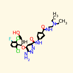 CCN(CC)CCNC(=O)c1ccc(NC(=O)c2cc(O[C@H](BC#CO)c3c(Cl)ccc(F)c3Cl)c(N)nn2)cc1